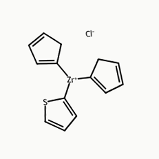 C1=CC[C]([Zr+]([C]2=CC=CC2)[c]2cccs2)=C1.[Cl-]